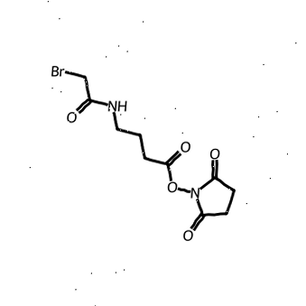 O=C(CBr)NCCCC(=O)ON1C(=O)CCC1=O